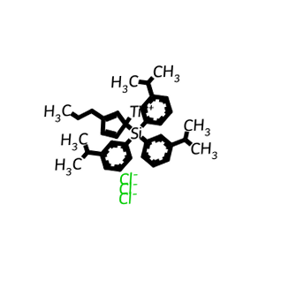 CCCC1=C[C]([Ti+3])([Si](c2cccc(C(C)C)c2)(c2cccc(C(C)C)c2)c2cccc(C(C)C)c2)C=C1.[Cl-].[Cl-].[Cl-]